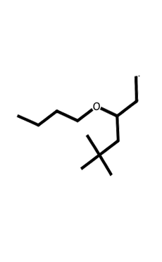 [CH2]CC(CC(C)(C)C)OCCCC